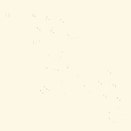 CN(CCO)c1nc(Nc2ccccc2)nc([AsH]c2ccc(C=Cc3ccc([AsH]c4nc(Nc5ccccc5)nc(N(C)CCO)n4)cc3S(=O)(=O)[O-])c(S(=O)(=O)[O-])c2)n1.[Na+].[Na+]